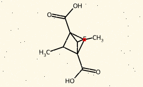 CC1C2(C(=O)O)C(C)C1(C(=O)O)C2F